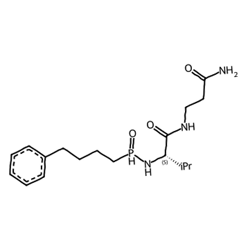 CC(C)[C@H](N[PH](=O)CCCCc1ccccc1)C(=O)NCCC(N)=O